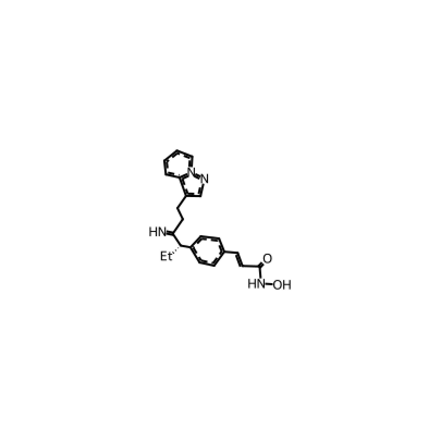 CC[C@H](C(=N)CCc1cnn2ccccc12)c1ccc(C=CC(=O)NO)cc1